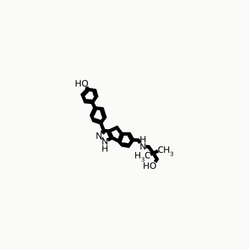 CC(C)(CO)CNCc1ccc2c(c1)Cc1c(-c3ccc(-c4ccc(O)cc4)cc3)n[nH]c1-2